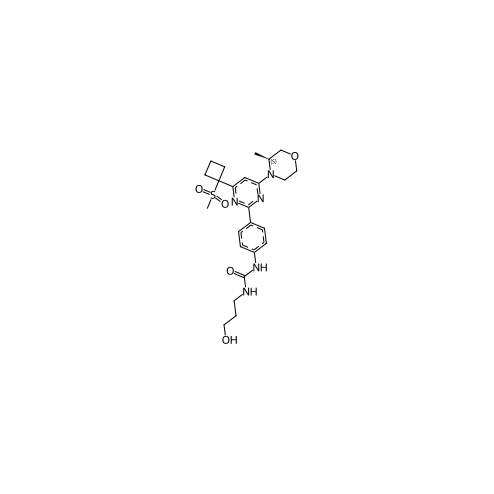 C[C@H]1COCCN1c1cc(C2(S(C)(=O)=O)CCC2)nc(-c2ccc(NC(=O)NCCCO)cc2)n1